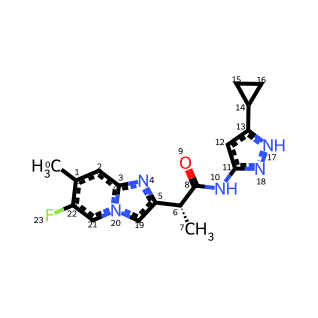 Cc1cc2nc([C@@H](C)C(=O)Nc3cc(C4CC4)[nH]n3)cn2cc1F